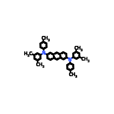 Cc1ccc(N(c2cc(C)cc(C)c2)c2ccc3cc4cc(N(c5ccc(C)cc5)c5cc(C)cc(C)c5)ccc4cc3c2)cc1